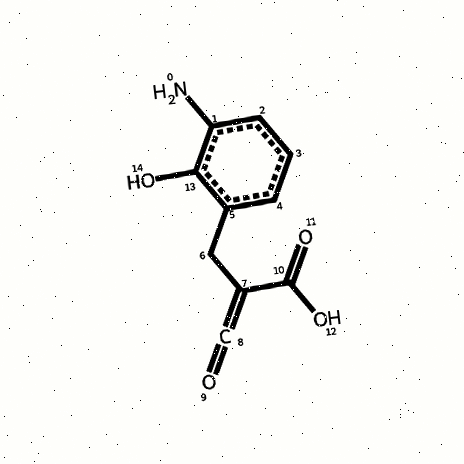 Nc1cccc(CC(=C=O)C(=O)O)c1O